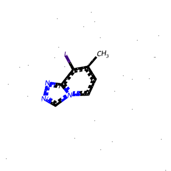 Cc1ccn2cnnc2c1I